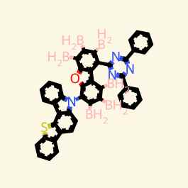 Bc1c(B)c(-c2nc(-c3ccccc3)nc(-c3ccccc3)n2)c2c(oc3c(-n4c5ccccc5c5c6sc7ccccc7c6ccc54)c(B)c(B)c(B)c32)c1B